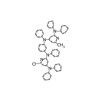 Cc1cc(N(c2ccccc2)c2cccc(N(c3ccccc3)c3cc(N(c4ccccc4)c4ccccc4)cc(Cl)n3)c2)cc(N(c2ccccc2)c2ccccc2)n1